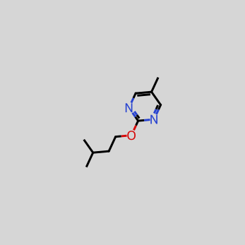 Cc1cnc(OCCC(C)C)nc1